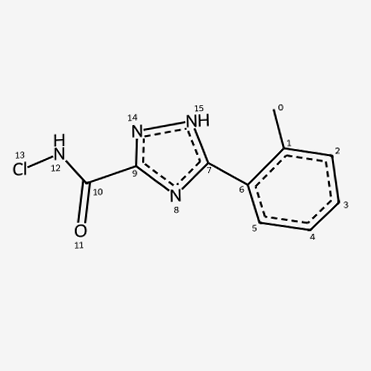 Cc1ccccc1-c1nc(C(=O)NCl)n[nH]1